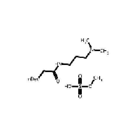 CCCCCCCCCCCC(=O)NCCCN(C)C.COS(=O)(=O)O